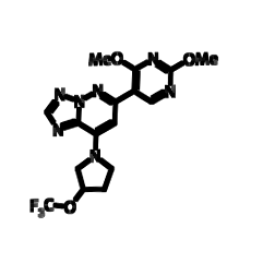 COc1ncc(-c2cc(N3CCC(OC(F)(F)F)C3)c3ncnn3n2)c(OC)n1